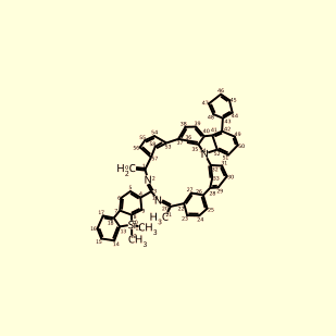 C=c1nc(-c2ccc3c(c2)[Si](C)(C)c2ccccc2-3)nc(C)c2cccc(c2)c2cccc(c2)n2c3cc(ccc3c3c(-c4ccccc4)cccc32)c2cccc1c2